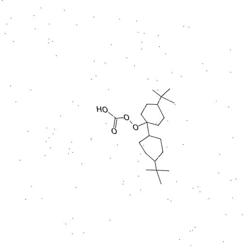 CC(C)(C)C1CCC(C2(OOC(=O)O)CCC(C(C)(C)C)CC2)CC1